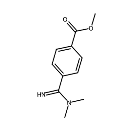 COC(=O)c1ccc(C(=N)N(C)C)cc1